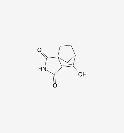 O=C1NC(=O)C23CCC(C2)C(O)=C13